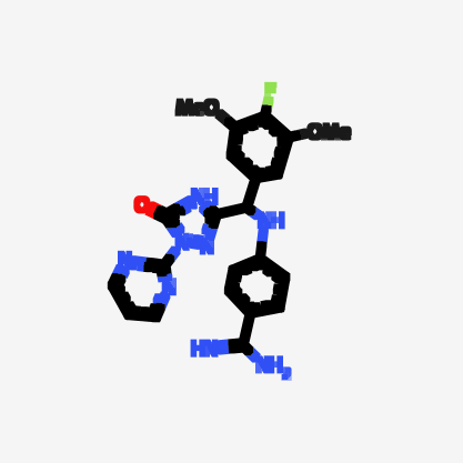 COc1cc(C(Nc2ccc(C(=N)N)cc2)c2nn(-c3ncccn3)c(=O)[nH]2)cc(OC)c1F